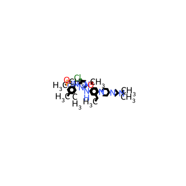 CCc1cc(Nc2ncc(Cl)c(Nc3cc(C)c(C)cc3P(C)(C)=O)n2)c(OC)cc1N1CCC(N2CC(N(C)C)C2)CC1